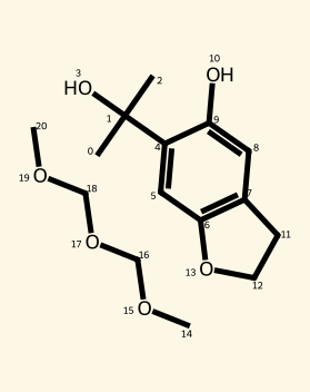 CC(C)(O)c1cc2c(cc1O)CCO2.COCOCOC